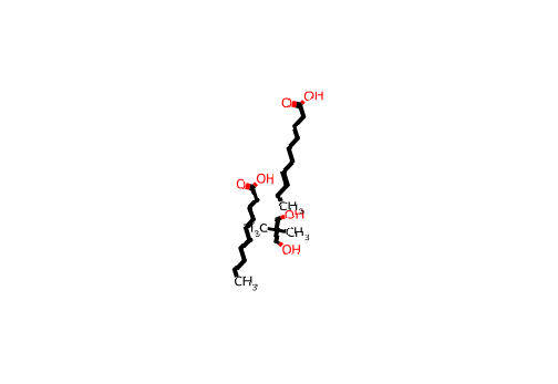 CC(C)(CO)CO.CCCCCCCCCC(=O)O.CCCCCCCCCC(=O)O